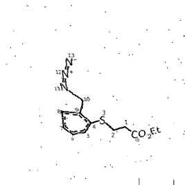 CCOC(=O)CCSc1ccccc1CN=[N+]=[N-]